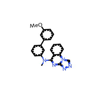 COc1cccc(-c2cccc(N(C)c3nc4nncn4c4ccccc34)c2)c1